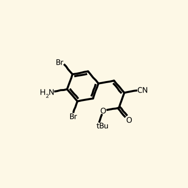 CC(C)(C)OC(=O)C(C#N)=Cc1cc(Br)c(N)c(Br)c1